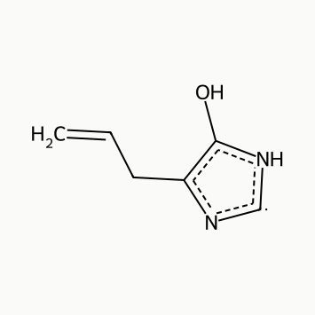 C=CCc1n[c][nH]c1O